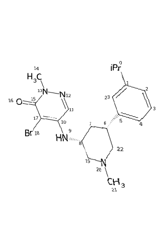 CC(C)c1cccc([C@H]2C[C@@H](Nc3cnn(C)c(=O)c3Br)CN(C)C2)c1